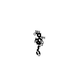 COc1cc2c(C3C(=O)Nc4ccc(C(N)=O)cc43)ncnc2cc1OCCCN1CCOCC1.Cl